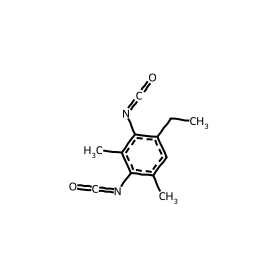 CCc1cc(C)c(N=C=O)c(C)c1N=C=O